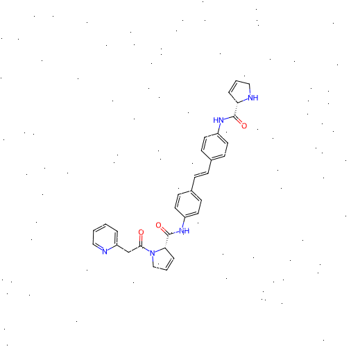 O=C(Nc1ccc(/C=C/c2ccc(NC(=O)[C@@H]3C=CCN3C(=O)Cc3ccccn3)cc2)cc1)[C@@H]1C=CCN1